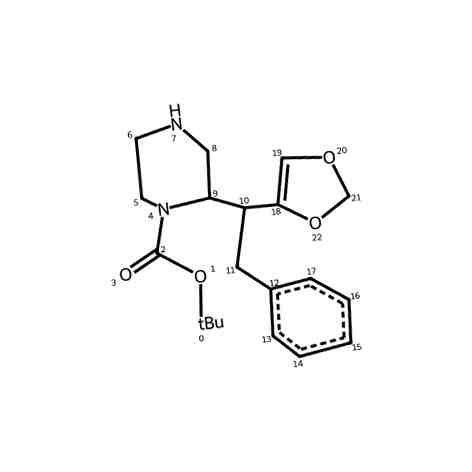 CC(C)(C)OC(=O)N1CCNCC1C(Cc1ccccc1)C1=COCO1